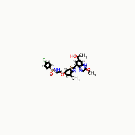 COc1cnc2c(-c3nc4c(C)cc(OCCN[S+]([O-])c5ccc(F)cc5)cc4s3)cc(C(C)O)cc2n1